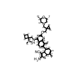 C[C@@H]1CN(CC2(COc3nc(NCC4(N(C)C)CCC4)c4cnc(C5=CC=C(F)C6SC(N)=C(C#N)C56)c(F)c4n3)CC2)C[C@@H](C)O1